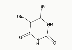 CC(C)C1NC(=O)NC(=O)C1C(C)(C)C